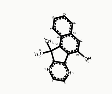 CC1(C)c2nccnc2-c2c(O)cc3ccccc3c21